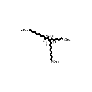 CCCCCCCCCCCCCCCCCC(=O)C(O)C(O)(C(=O)CCCCCCCCCCCCCCCCC)C(O)C(=O)CCCCCCCCCCCCC